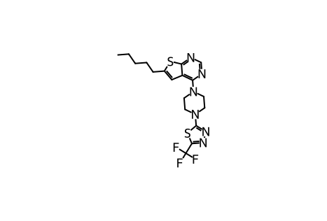 CCCCCc1cc2c(N3CCN(c4nnc(C(F)(F)F)s4)CC3)ncnc2s1